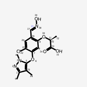 Cc1nn(C)c(Oc2cc(O[C@@H](C)C(=O)O)c(/C=N/O)cc2Cl)c1C